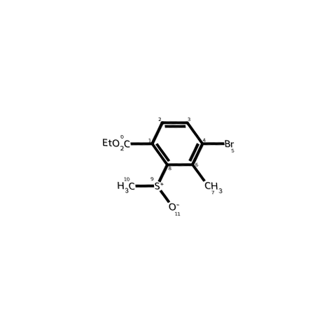 CCOC(=O)c1ccc(Br)c(C)c1[S+](C)[O-]